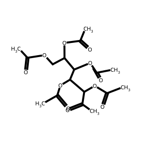 CC(=O)OCC(OC(C)=O)C(OC(C)=O)C(OC(C)=O)C(OC(C)=O)C(C)=O